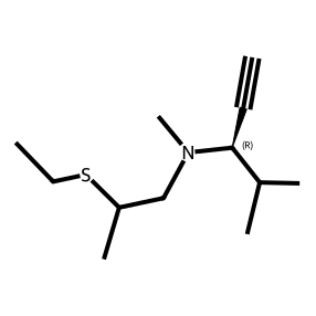 C#C[C@@H](C(C)C)N(C)CC(C)SCC